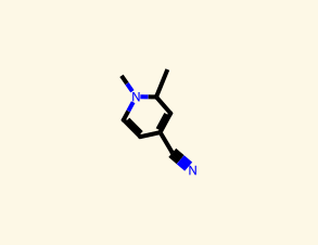 CC1C=C(C#N)C=CN1C